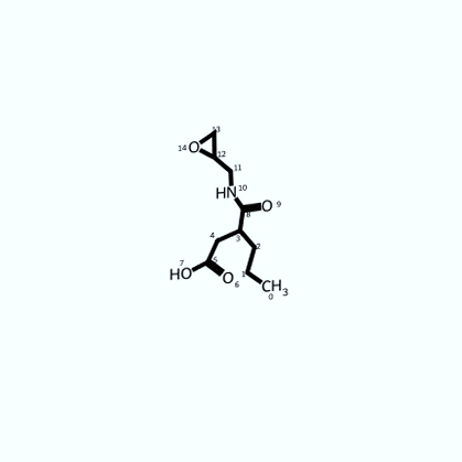 CCCC(CC(=O)O)C(=O)NCC1CO1